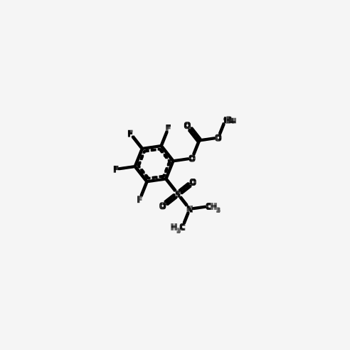 CN(C)S(=O)(=O)c1c(F)c(F)c(F)c(F)c1OC(=O)OC(C)(C)C